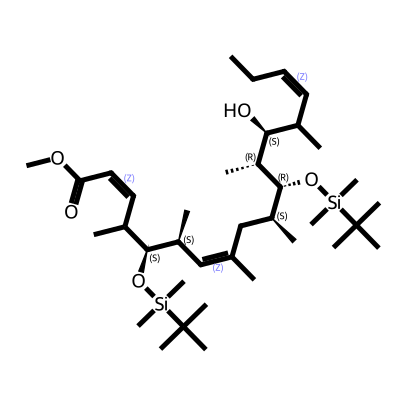 CC/C=C\C(C)[C@H](O)[C@@H](C)[C@H](O[Si](C)(C)C(C)(C)C)[C@@H](C)C/C(C)=C\[C@H](C)[C@@H](O[Si](C)(C)C(C)(C)C)C(C)/C=C\C(=O)OC